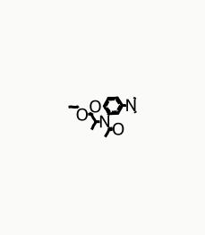 CCOC(=O)C(C)N(C(C)=O)c1cccc(N(C)C)c1